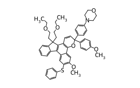 CCOCCC1(CCOCC)c2ccccc2-c2c1c1c(c3cc(OC)c(Sc4ccccc4)cc23)OC(c2ccc(OC)cc2)(c2ccc(N3CCOCC3)cc2)C=C1